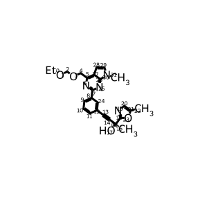 CCOCOCc1nc(-c2cccc(C#C[C@](C)(O)c3ncc(C)o3)c2)nc2c1ccn2C